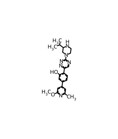 COc1cc(-c2ccc(-c3cnc(N4CCNC(C(C)C)C4)nn3)c(O)c2)cc(C)n1